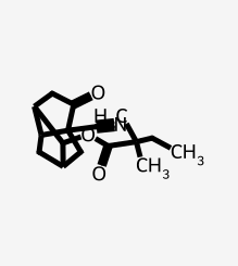 CCC(C)(C)C(=O)OC1C2CC3C1CC(=O)C3(C#N)C2